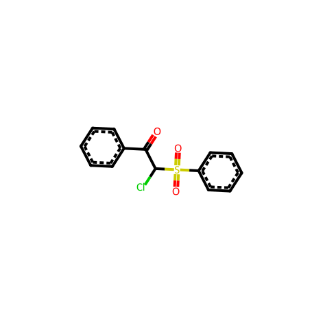 O=C(c1ccccc1)C(Cl)S(=O)(=O)c1ccccc1